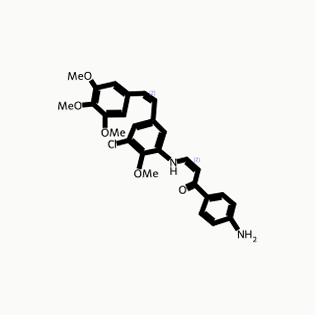 COc1cc(/C=C\c2cc(Cl)c(OC)c(N/C=C\C(=O)c3ccc(N)cc3)c2)cc(OC)c1OC